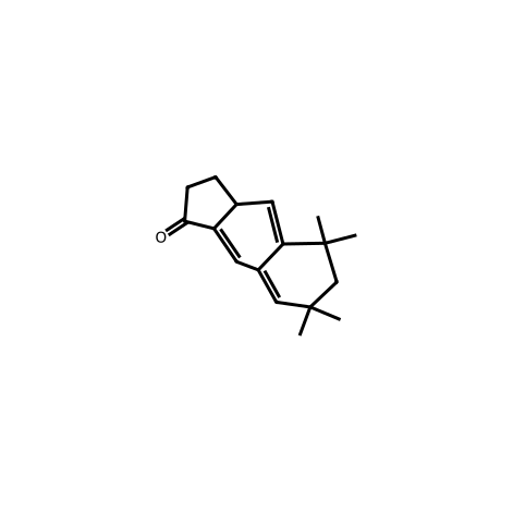 CC1(C)C=C2C=C3C(=O)CCC3C=C2C(C)(C)C1